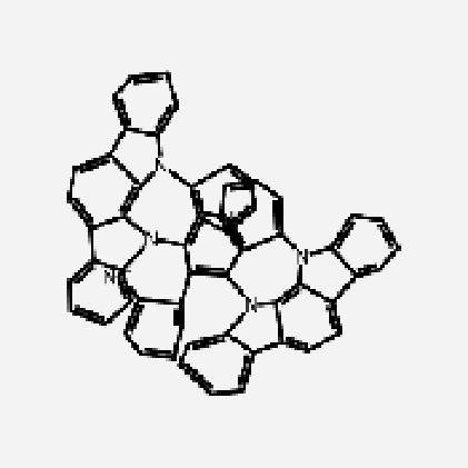 N#Cc1ccccc1-c1c(-n2c3ccccc3c3ccc4c5ccccc5n(-c5ccccc5)c4c32)cncc1-n1c2ccccc2c2ccc3c4ccccc4n(-c4ccccc4)c3c21